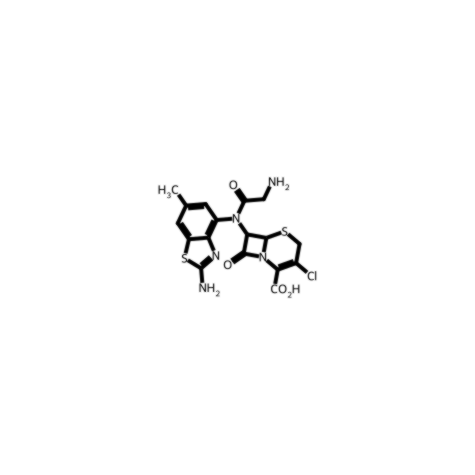 Cc1cc(N(C(=O)CN)C2C(=O)N3C(C(=O)O)=C(Cl)CSC23)c2nc(N)sc2c1